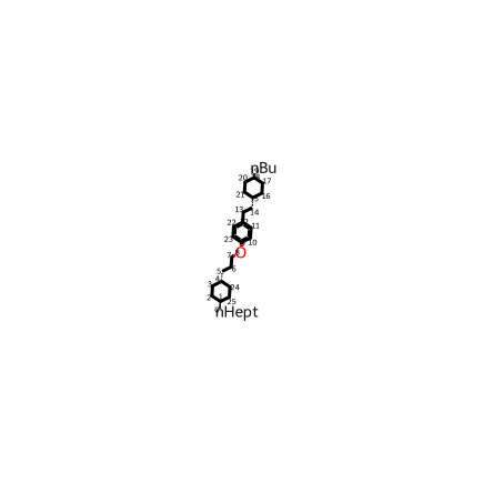 CCCCCCC[C@H]1CC[C@H](CCCOc2ccc(CC[C@H]3CC[C@H](CCCC)CC3)cc2)CC1